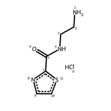 Cl.NCCNC(=O)c1nccs1